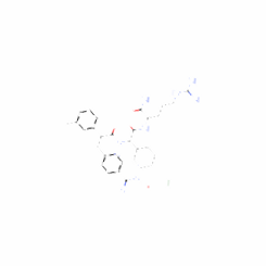 Cc1cccc(C(Cc2ccc(C(=N)NO)cc2)C(=O)NC(C(=O)NC(CCCNC(=N)N)C(N)=O)C2CCCCC2)c1.Cl